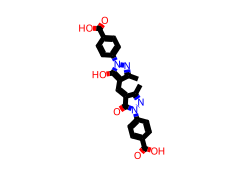 CC1=NN(c2ccc(C(=O)O)cc2)C(=O)C1=Cc1c(C)nn(-c2ccc(C(=O)O)cc2)c1O